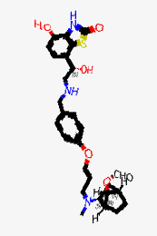 CN(CCCOc1ccc(CNC[C@@H](O)c2ccc(O)c3[nH]c(=O)sc23)cc1)[C@H]1C[C@@H]2CC[C@H]1[C@@H]2OC=O